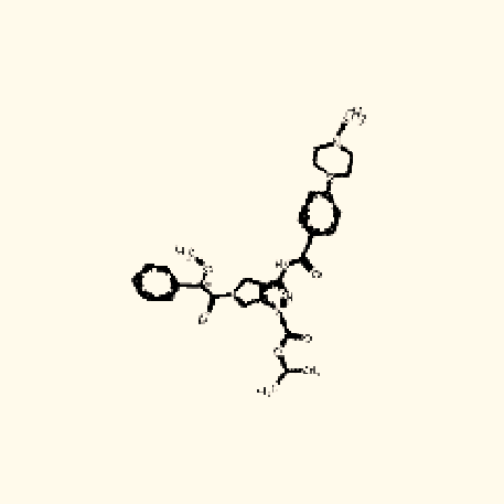 CO[C@@H](C(=O)N1Cc2c(NC(=O)c3ccc(N4CCN(C)CC4)cc3)nn(C(=O)OC(C)C)c2C1)c1ccccc1